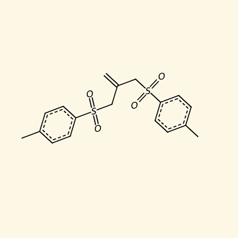 C=C(CS(=O)(=O)c1ccc(C)cc1)CS(=O)(=O)c1ccc(C)cc1